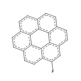 Fc1cc2ccc3ccc4ccc5ccc6ccc1c1c6c5c4c3c21